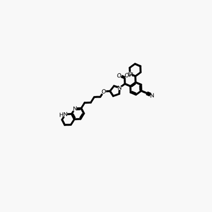 N#Cc1ccc(C(C(=O)O)N2CCC(OCCCCc3ccc4c(n3)NCCC4)C2)c(C2CCCCO2)c1